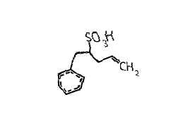 C=CCC(Cc1ccccc1)S(=O)(=O)O